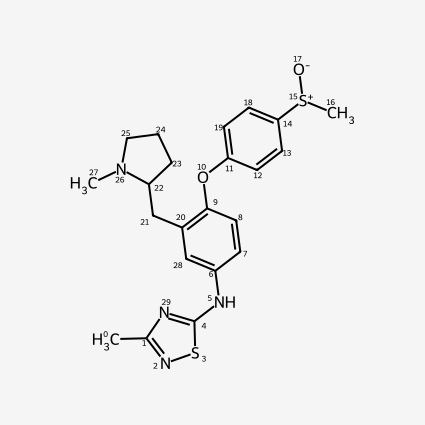 Cc1nsc(Nc2ccc(Oc3ccc([S+](C)[O-])cc3)c(CC3CCCN3C)c2)n1